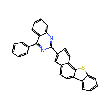 c1ccc(-c2nc(-c3ccc4c(ccc5c6ccccc6sc45)c3)nc3ccccc23)cc1